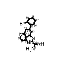 Cc1ccnc2c1/C(=N\NC(=N)N)CC(c1ccccc1Br)C2